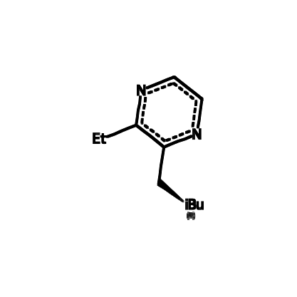 CCc1nccnc1C[C@H](C)CC